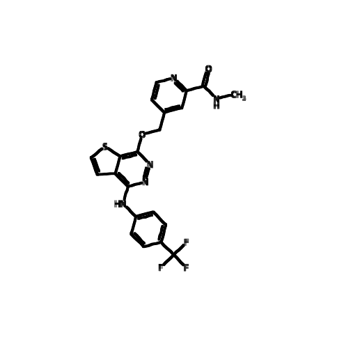 CNC(=O)c1cc(COc2nnc(Nc3ccc(C(F)(F)F)cc3)c3ccsc23)ccn1